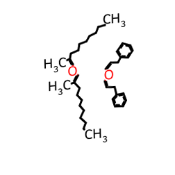 C(=C/O/C=C\Cc1ccccc1)/Cc1ccccc1.CCCCCCCCC/C(C)=C/O/C=C(\C)CCCCCCCCC